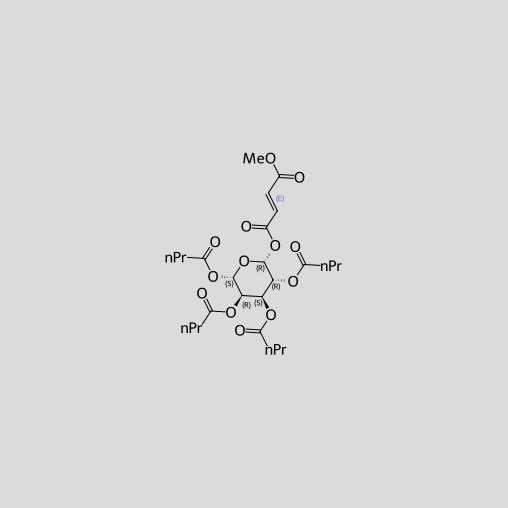 CCCC(=O)O[C@@H]1O[C@H](OC(=O)/C=C/C(=O)OC)[C@H](OC(=O)CCC)[C@@H](OC(=O)CCC)[C@H]1OC(=O)CCC